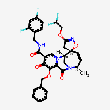 C[C@H]1C=C[C@]2(CC(OCC(F)F)=NO2)[C@H]2CN1C(=O)c1c(OCc3ccccc3)c(=O)c(C(=O)NCc3ccc(F)cc3F)cn12